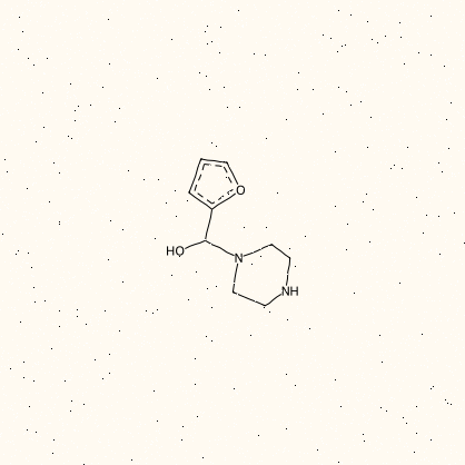 OC(c1ccco1)N1CCNCC1